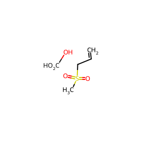 C=CCS(C)(=O)=O.O=C(O)O